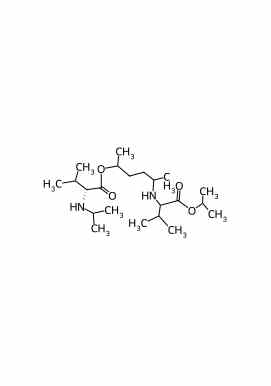 CC(C)N[C@@H](C(=O)OC(C)CCC(C)NC(C(=O)OC(C)C)C(C)C)C(C)C